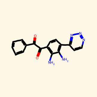 Nc1c(C(=O)C(=O)c2ccccc2)ccc(-c2ccnnn2)c1N